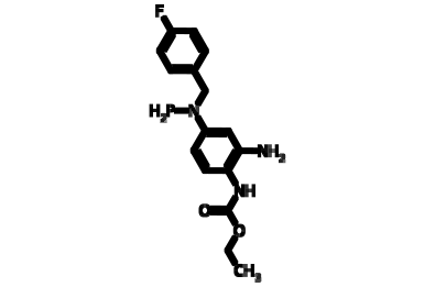 CCOC(=O)Nc1ccc(N(P)Cc2ccc(F)cc2)cc1N